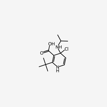 CC(C)NC1(Cl)C=CNC(C(C)(C)C)=C1C(=O)O